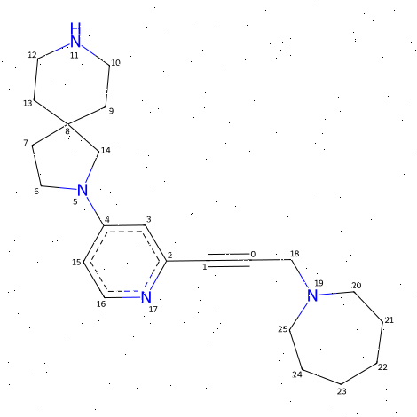 C(#Cc1cc(N2CCC3(CCNCC3)C2)ccn1)CN1CCCCCC1